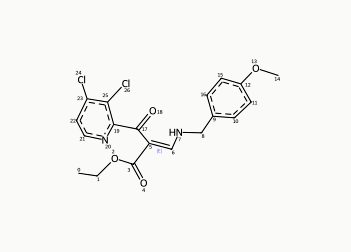 CCOC(=O)/C(=C/NCc1ccc(OC)cc1)C(=O)c1nccc(Cl)c1Cl